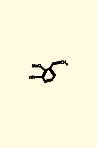 C=[C]c1cccc(CCC)c1OC